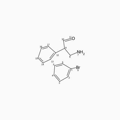 Brc1ccccc1.NCC(C=O)c1ccccc1